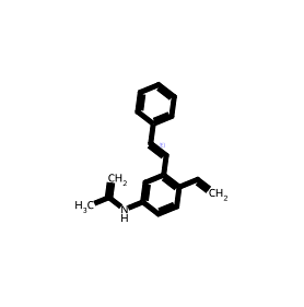 C=Cc1ccc(NC(=C)C)cc1/C=C/c1ccccc1